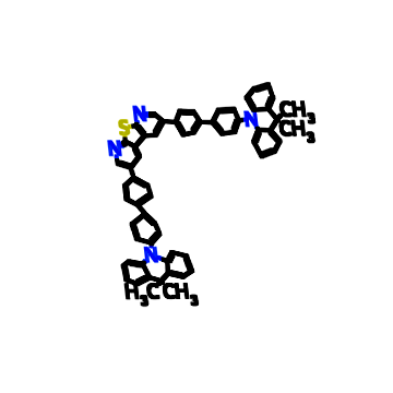 CC1(C)c2ccccc2N(c2ccc(-c3ccc(-c4cnc5sc6ncc(-c7ccc(-c8ccc(N9c%10ccccc%10C(C)(C)c%10ccccc%109)cc8)cc7)cc6c5c4)cc3)cc2)c2ccccc21